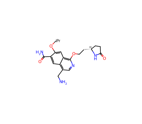 CC(C)Oc1cc2c(OCC[C@@H]3CCC(=O)N3)ncc(CN)c2cc1C(N)=O